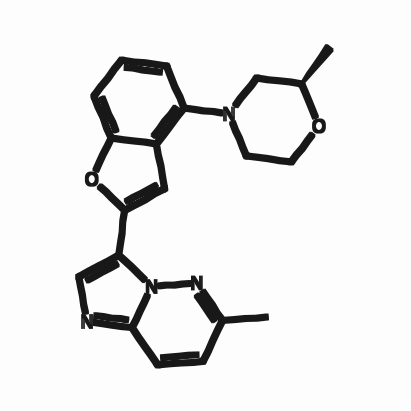 Cc1ccc2ncc(-c3cc4c(N5CCO[C@H](C)C5)cccc4o3)n2n1